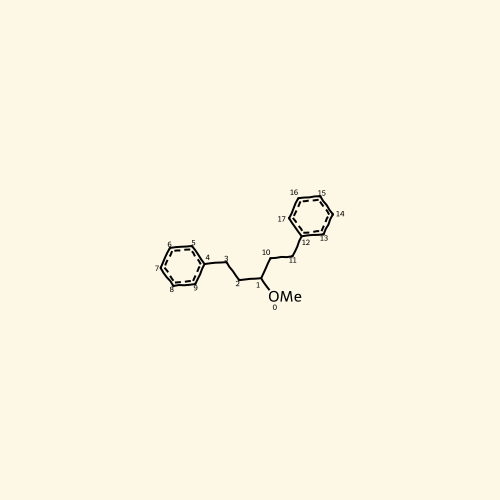 COC(CCc1ccccc1)CCc1ccccc1